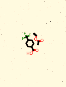 C=COC(C)=O.O=C(O)C1CCC(C(F)(F)F)CC1